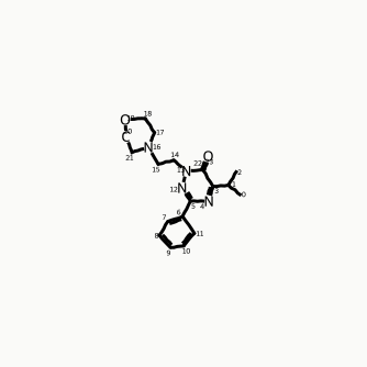 CC(C)c1nc(-c2ccccc2)nn(CCN2CCOCC2)c1=O